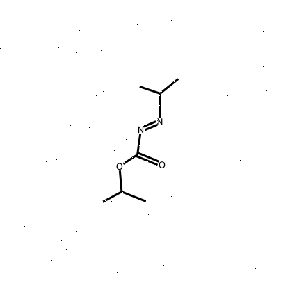 CC(C)N=NC(=O)OC(C)C